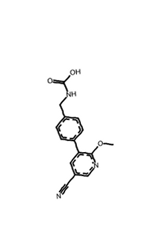 COc1ncc(C#N)cc1-c1ccc(CNC(=O)O)cc1